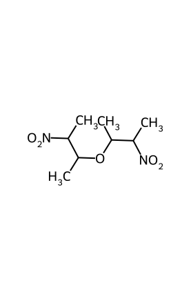 CC(OC(C)C(C)[N+](=O)[O-])C(C)[N+](=O)[O-]